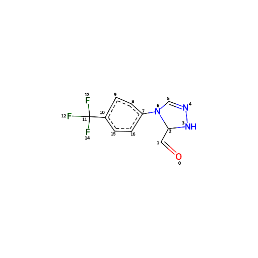 O=CC1NN=CN1c1ccc(C(F)(F)F)cc1